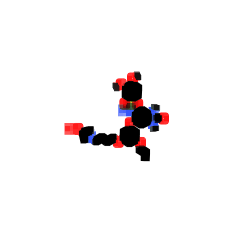 CCCOc1cc(OCCCCN2CC(O)C2)cc(Oc2cc3c(cc2NS(=O)(=O)c2ccc(OC)c(OC)c2)n(C)c(=O)n3C)c1